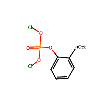 CCCCCCCCc1ccccc1OP(=O)(OCl)OCl